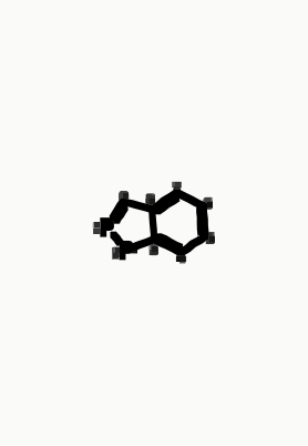 C1=P[P]c2ccccc21